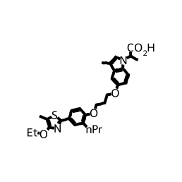 CCCc1cc(-c2nc(OCC)c(C)s2)ccc1OCCCOc1ccc2c(c1)c(C)cn2C(C)C(=O)O